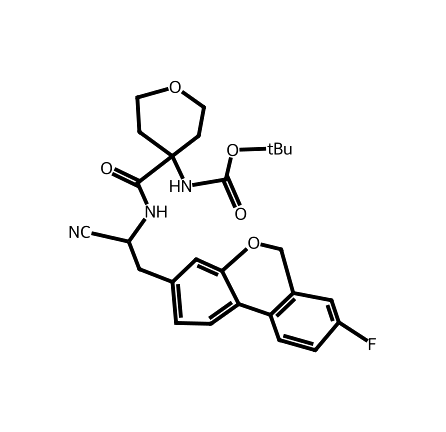 CC(C)(C)OC(=O)NC1(C(=O)NC(C#N)Cc2ccc3c(c2)OCc2cc(F)ccc2-3)CCOCC1